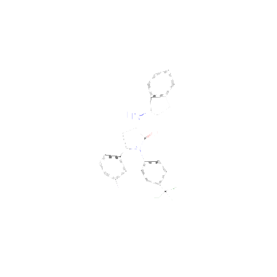 O=C1[C@@H](N[C@@H]2CCc3ccccc32)C[C@H](c2cccc(I)c2)N1c1ccc(C(F)(F)F)cc1